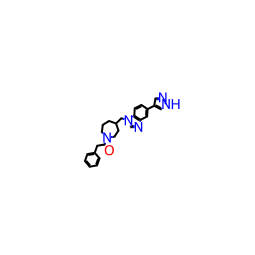 O=C(Cc1ccccc1)N1CCCC(Cn2cnc3cc(-c4cn[nH]c4)ccc32)CC1